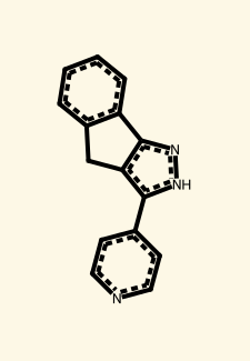 c1ccc2c(c1)Cc1c-2n[nH]c1-c1ccncc1